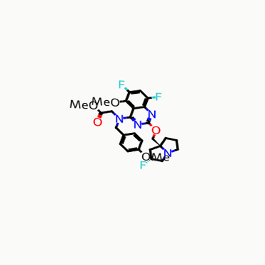 COC(=O)CN(Cc1ccc(OC)cc1)c1nc(OC[C@@]23CCCN2C[C@H](F)C3)nc2c(F)cc(F)c(OC)c12